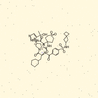 CC(C)(O)c1cnnn1[C@H]1C[C@@H](C(=O)NC2(C(=O)C(N)=O)CCS(=O)(=O)CC2)N(C(=O)/C(CC2CCCCC2)=N/C(=O)c2ccc(S(=O)(=O)NC3CC4(CCC4)C3)cc2)C1